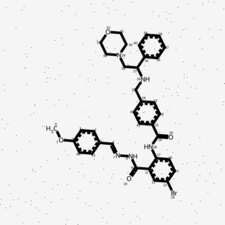 COc1ccc(C=NNC(=O)c2cc(Br)ccc2NC(=O)c2ccc(CNC(CN3CCOCC3)c3ccccc3)cc2)cc1